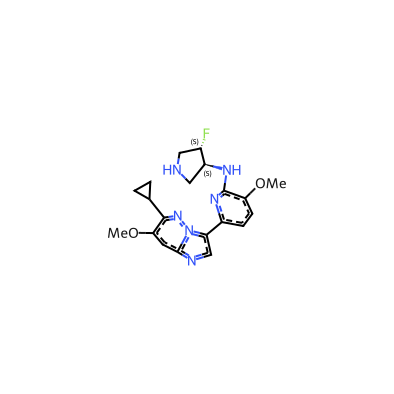 COc1ccc(-c2cnc3cc(OC)c(C4CC4)nn23)nc1N[C@H]1CNC[C@@H]1F